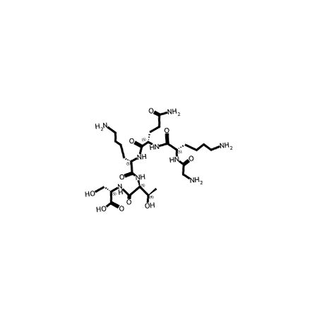 C[C@@H](O)[C@H](NC(=O)[C@H](CCCCN)NC(=O)[C@H](CCC(N)=O)NC(=O)[C@H](CCCCN)NC(=O)CN)C(=O)N[C@@H](CO)C(=O)O